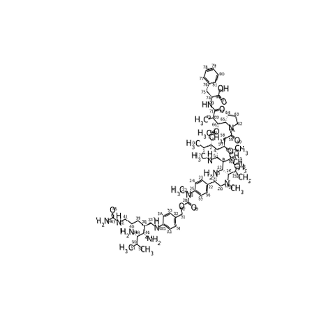 CC[C@H](C)[C@@H](C(NC)[C@@H](C(C)C)C(N)[C@H](C(C)C)N(C)CCc1ccc(N(C)C(=O)OCc2ccc(NC[C@H](CCCNC(N)=O)C(N)[C@@H](N)C(C)C)cc2)cc1)[C@@H](CC(=O)N1CCC[C@H]1[C@H](OC)[C@@H](C)C(=O)N[C@@H](Cc1ccccc1)C(=O)O)OC